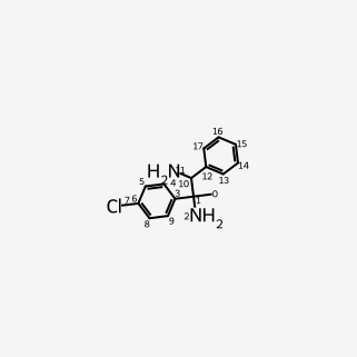 CC(N)(c1ccc(Cl)cc1)C(N)c1ccccc1